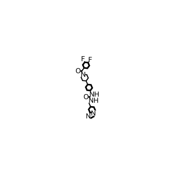 O=C(NCc1ccn2ccnc2c1)Nc1ccc(C2CCN(C(=O)c3ccc(F)c(F)c3)CC2)cc1